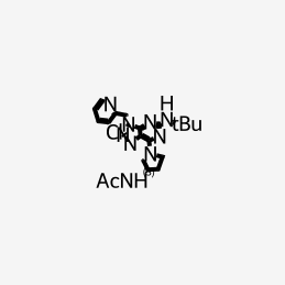 CC(=O)N[C@H]1CCN(c2nc(NC(C)(C)C)nc3c2nnn3Cc2ncccc2Cl)C1